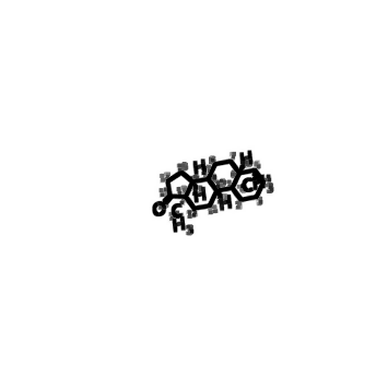 C[C@@]12CCC=C[C@H]1CC[C@H]1[C@H]2CC[C@@]2(C)C(=O)CC[C@H]12